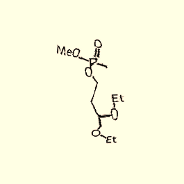 CCOC(CCOP(C)(=O)OC)OCC